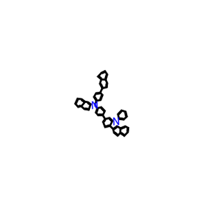 c1ccc(-n2c3cc(-c4ccc(N(c5ccc(-c6ccc7ccccc7c6)cc5)c5ccc6ccccc6c5)cc4)ccc3c3ccc4ccccc4c32)cc1